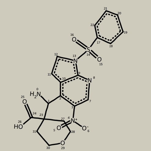 NC(c1c([N+](=O)[O-])cnc2c1ccn2S(=O)(=O)c1ccccc1)C1(C(=O)O)CCOCC1